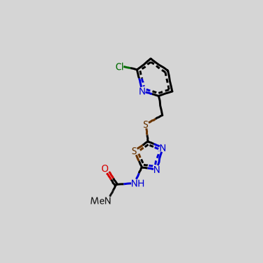 CNC(=O)Nc1nnc(SCc2cccc(Cl)n2)s1